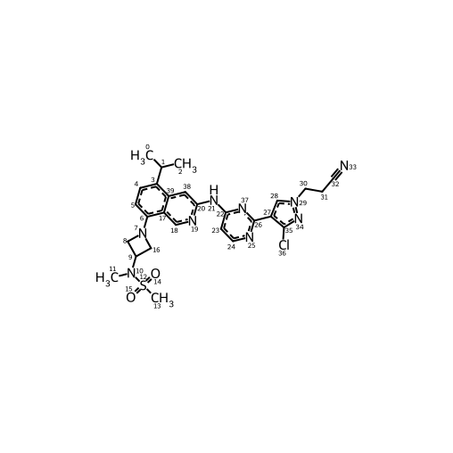 CC(C)c1ccc(N2CC(N(C)S(C)(=O)=O)C2)c2cnc(Nc3ccnc(-c4cn(CCC#N)nc4Cl)n3)cc12